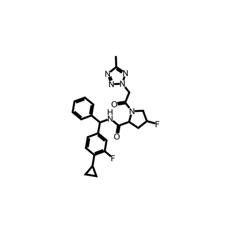 Cc1nnn(CC(=O)N2CC(F)CC2C(=O)NC(c2ccccc2)c2ccc(C3CC3)c(F)c2)n1